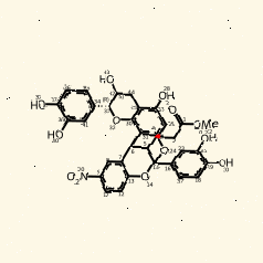 COC(=O)CCC1C2c3cc([N+](=O)[O-])ccc3OC1(c1ccc(O)c(O)c1)Oc1cc(O)c3c(c12)O[C@H](c1ccc(O)c(O)c1)[C@@H](O)C3